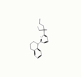 CCCC(C)(CC)c1cccc(C2CCCc3ccccc32)n1